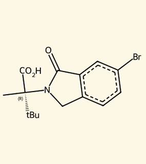 CC(C)(C)[C@](C)(C(=O)O)N1Cc2ccc(Br)cc2C1=O